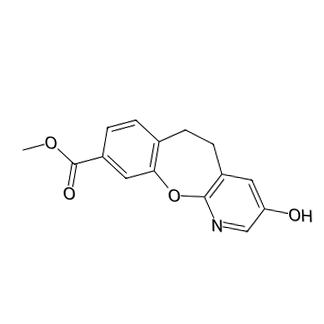 COC(=O)c1ccc2c(c1)Oc1ncc(O)cc1CC2